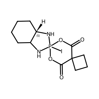 O=C1OP2(I)(NC3CCCC[C@@H]3N2)OC(=O)C12CCC2